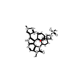 Cn1cc(-c2[nH]c3ncc4c(c3c2-c2ccccc2C#N)n(C2CCC3(CC2)CN(S(C)(=O)=O)C3)c(=O)n4C)cn1